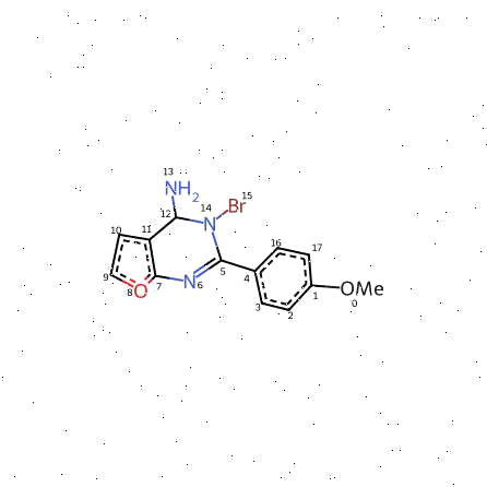 COc1ccc(C2=Nc3occc3C(N)N2Br)cc1